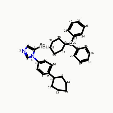 CCCCc1cncn1-c1ccc(C2CCCCC2)cc1.c1ccc(B(c2ccccc2)C2CCCCC2)cc1